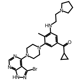 Cc1c(NCCN2CCCC2)cc(C(=O)C2CC2)cc1N1CCN(c2ncnc3[nH]nc(Br)c23)CC1